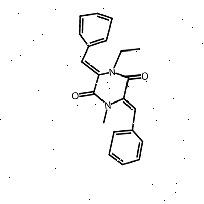 CCn1c(=O)/c(=C/c2ccccc2)n(C)c(=O)/c1=C/c1ccccc1